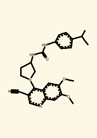 COc1cc2ncc(C#N)c(N3CCC(NC(=O)Nc4ccc(C(C)C)cc4)C3)c2cc1OC